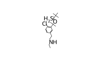 CCNCCc1ccc(Cl)c(C(C)(C)O[SiH2]C(C)(C)C)c1